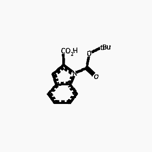 CC(C)(C)OC(=O)n1c(C(=O)O)cc2ccccc21